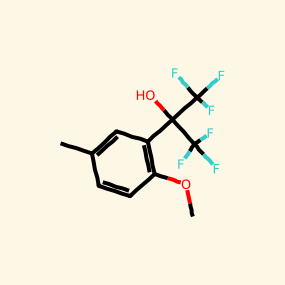 COc1ccc(C)cc1C(O)(C(F)(F)F)C(F)(F)F